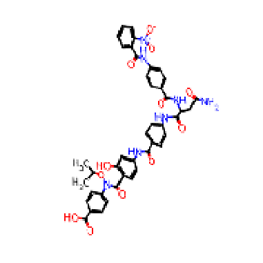 CC(C)ON(C(=O)c1ccc(NC(=O)c2ccc(NC(=O)C(CC(N)=O)NC(=O)c3ccc(NC(=O)c4ccccc4[N+](=O)[O-])cc3)cc2)cc1O)c1ccc(C(=O)O)cc1